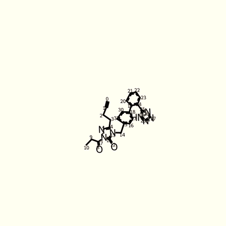 C#CCCc1nn(C(=O)CC)c(=O)n1Cc1ccc(-c2ccccc2-c2nnn[nH]2)cc1